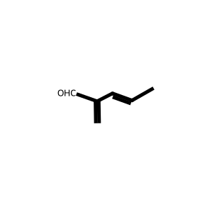 C=C(C=O)C=CC